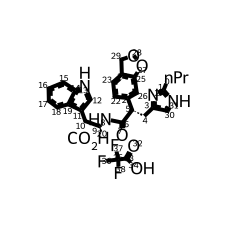 CCCc1nc(C[C@H](C(=O)N[C@@H](Cc2c[nH]c3ccccc23)C(=O)O)c2ccc3c(c2)OOC3)c[nH]1.O=C(O)C(F)(F)F